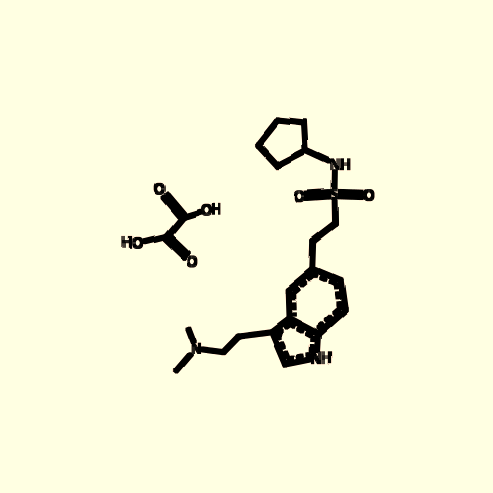 CN(C)CCc1c[nH]c2ccc(CCS(=O)(=O)NC3CCCC3)cc12.O=C(O)C(=O)O